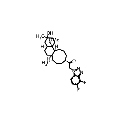 COC[C@]12CC[C@@](C)(O)C[C@@H]1CC[C@H]1[C@@H](C)CC[C@H](C(=O)Cn3nnc4c(F)c(F)ccc43)CCC[C@@H]12